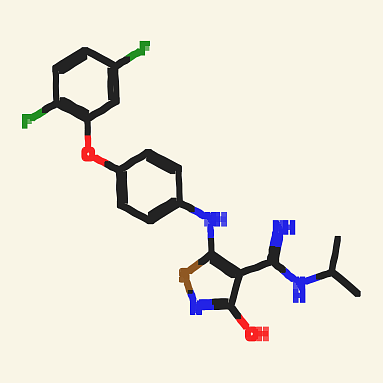 CC(C)NC(=N)c1c(O)nsc1Nc1ccc(Oc2cc(F)ccc2F)cc1